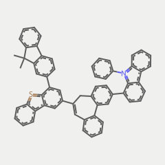 CC1(C)c2ccccc2-c2ccc(-c3cc(C4=Cc5ccccc5-c5cc(-c6cccc7c8ccccc8n(-c8ccccc8)c67)ccc5C4)cc4c3sc3ccccc34)cc21